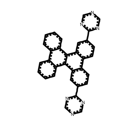 c1ccc2c(c1)c1ccccc1c1c3cc(-c4ncncn4)ccc3c3ccc(-c4ncncn4)cc3c21